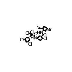 N#Cc1ccc(Br)cc1NC(=O)c1cc(NC(=O)[C@@H]2[C@@H](c3cc(Cl)cc(Cl)c3)C2(Cl)Cl)ccc1Cl